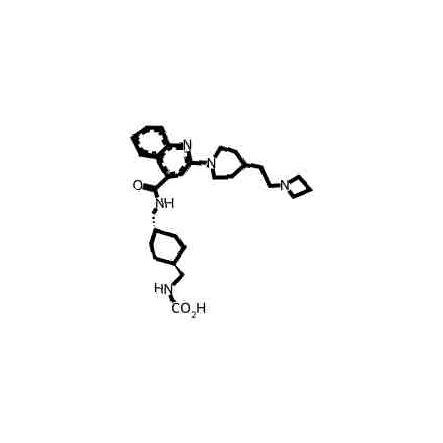 O=C(O)NC[C@H]1CC[C@H](CNC(=O)c2cc(N3CCC(CCN4CCC4)CC3)nc3ccccc23)CC1